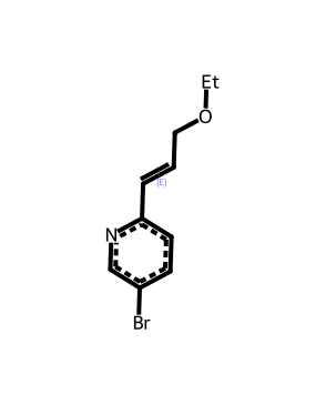 CCOC/C=C/c1ccc(Br)cn1